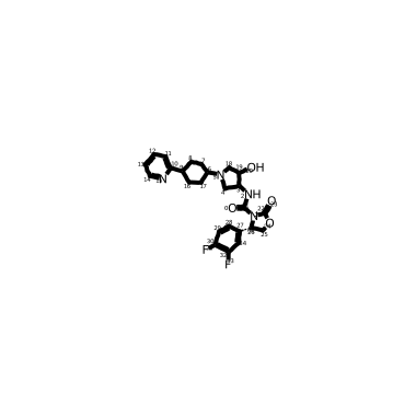 O=C(NC1CN(C2CCC(c3ccccn3)CC2)CC1O)N1C(=O)OC[C@@H]1c1ccc(F)c(F)c1